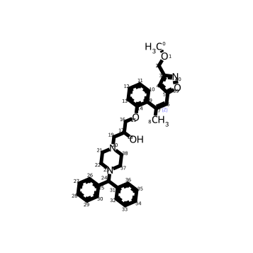 COCc1cc(/C=C(/C)c2ccccc2OCC(O)CN2CCN(C(c3ccccc3)c3ccccc3)CC2)on1